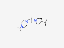 CC(C)C1CCN(C(C)(C)CN2CCN(C(C)C)CC2)CC1